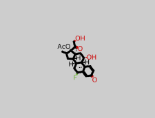 CC(=O)O[C@@]1(C(=O)CO)C(C)C[C@H]2[C@@H]3CC(F)C4=CC(=O)C=C[C@]4(C)[C@H]3[C@@H](O)C[C@@]21C